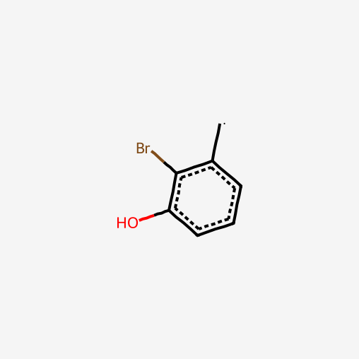 [CH2]c1cccc(O)c1Br